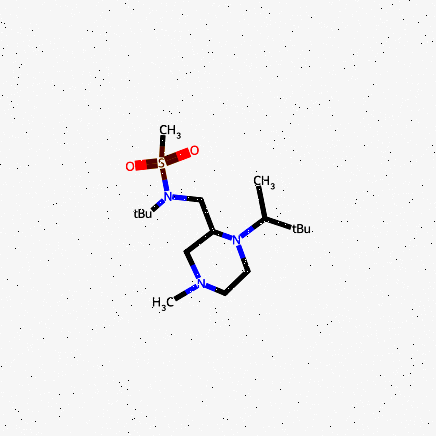 CC(N1CCN(C)CC1CN(C(C)(C)C)S(C)(=O)=O)C(C)(C)C